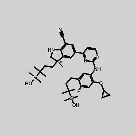 CC(C)(CCc1cc(Nc2nccc(-c3cc(C#N)c4c(c3)[C@@](C)(CCC(C)(C)[Si](C)(C)O)CN4)n2)c(OC2CC2)cc1F)[Si](C)(C)O